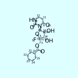 O=C(OC[C@@]1(F)O[C@@H](n2c(=O)cc[nH]c2=O)[C@H](O)[C@@H]1O)c1ccccc1